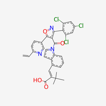 C=Cc1ccc(-c2onc(-c3c(Cl)cc(Cl)cc3Cl)c2C(=O)n2ccc3c(/C=C(/C(=O)O)C(C)(C)C)cccc32)cn1